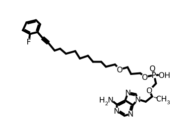 C[C@H](Cn1cnc2c(N)ncnc21)OCP(=O)(O)OCCCOCCCCCCCCCCC#Cc1ccccc1F